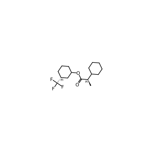 C[C@@H](C(=O)OC1CCC[C@@H](C(F)(F)F)C1)C1CCCCC1